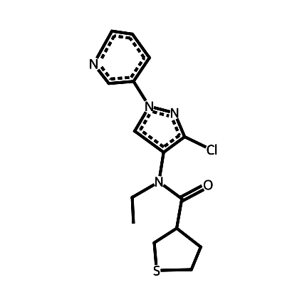 CCN(C(=O)C1CCSC1)c1cn(-c2cccnc2)nc1Cl